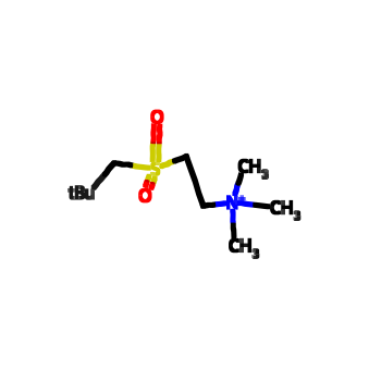 CC(C)(C)CS(=O)(=O)CC[N+](C)(C)C